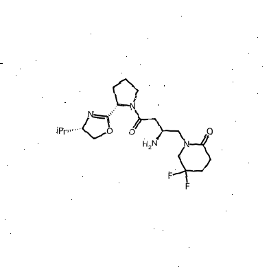 CC(C)[C@H]1COC([C@@H]2CCCN2C(=O)C[C@H](N)CN2CC(F)(F)CCC2=O)=N1